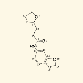 O=C(CCC1CCCO1)Nc1ccc2c(c1)OCO2